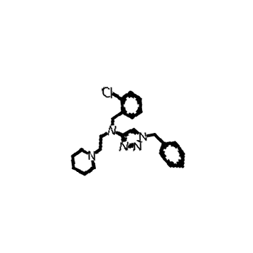 Clc1ccccc1CN(CCN1CCCCC1)c1cn(Cc2ccccc2)nn1